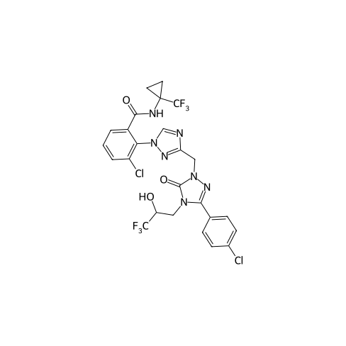 O=C(NC1(C(F)(F)F)CC1)c1cccc(Cl)c1-n1cnc(Cn2nc(-c3ccc(Cl)cc3)n(CC(O)C(F)(F)F)c2=O)n1